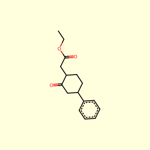 CCOC(=O)CC1CCC(c2ccccc2)CC1=O